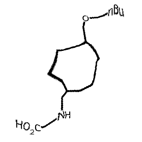 CCCCOC1CCC(NC(=O)O)CC1